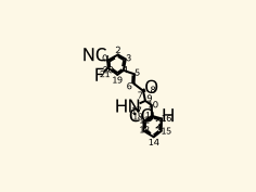 N#Cc1ccc(/C=C/C(=O)C(Cc2ccccc2)NC(=O)O)cc1F